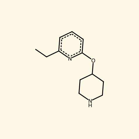 CCc1cccc(OC2CCNCC2)n1